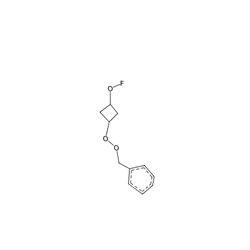 FOC1CC(OOCc2ccccc2)C1